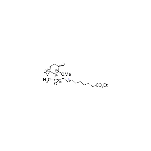 CCOC(=O)CCCCC/C=C/C[C@H]1OC1(C)[C@H]1[C@H](OC)C(=O)CC[C@]12CO2